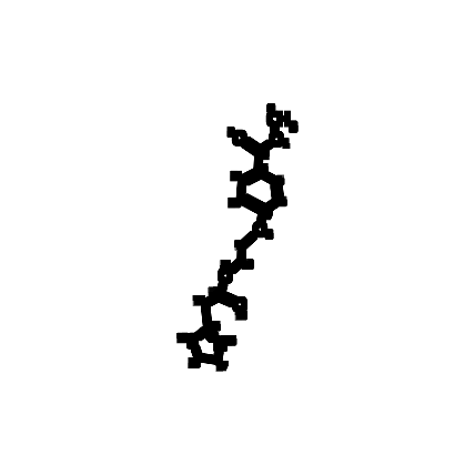 COC(=O)c1ccc(OCCOC(=O)CC2=NCCS2)cc1